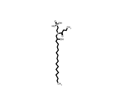 CCCCCCCCCCCCCCCCC(O)CN(CCP(=O)(O)O)C(=O)CCC